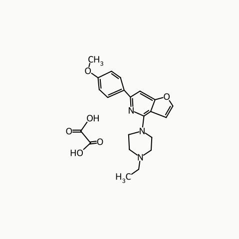 CCN1CCN(c2nc(-c3ccc(OC)cc3)cc3occc23)CC1.O=C(O)C(=O)O